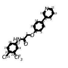 O=C(COc1ccc(-c2cccnc2)cc1)Nc1ccc(Cl)c(C(F)(F)F)c1